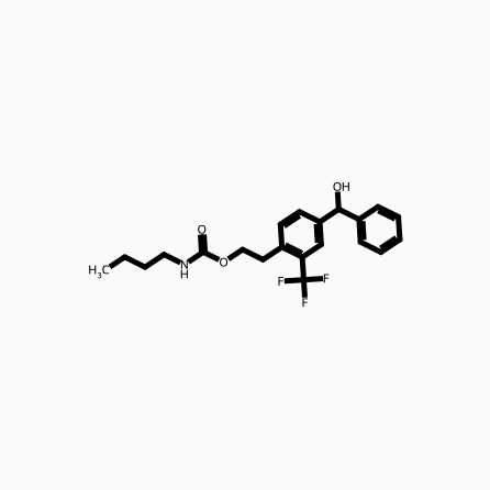 CCCCNC(=O)OCCc1ccc(C(O)c2ccccc2)cc1C(F)(F)F